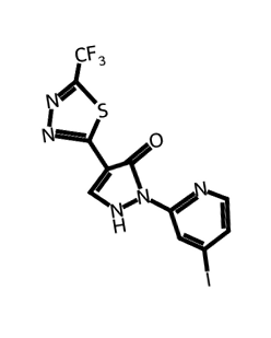 O=c1c(-c2nnc(C(F)(F)F)s2)c[nH]n1-c1cc(I)ccn1